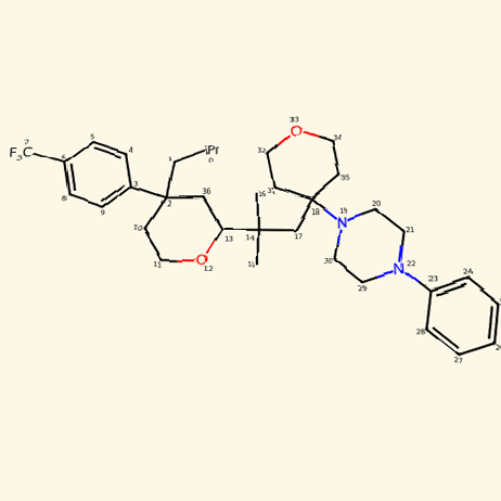 CC(C)CC1(c2ccc(C(F)(F)F)cc2)CCOC(C(C)(C)CC2(N3CCN(c4ccccc4)CC3)CCOCC2)C1